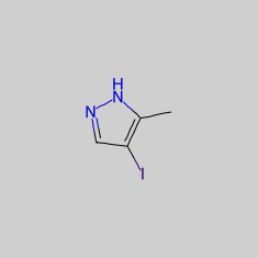 Cc1[nH]ncc1I